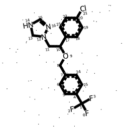 FC(F)(F)c1ccc(COC(CN2CNC=N2)c2ccc(Cl)cc2)cc1